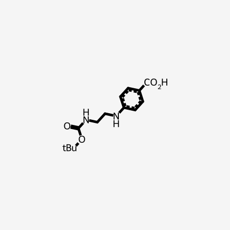 CC(C)(C)OC(=O)NCCNc1ccc(C(=O)O)cc1